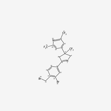 FC(F)(F)c1cc(C2(C(F)(F)F)CN=C(c3ccc(CBr)c(Br)c3)C2)cc(C(F)(F)F)n1